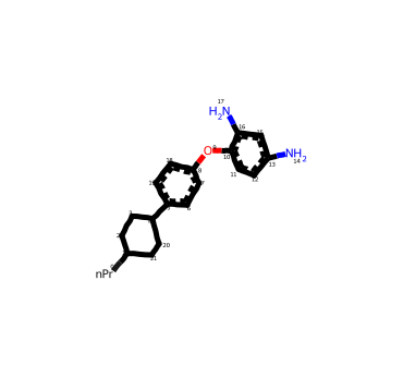 CCCC1CCC(c2ccc(Oc3ccc(N)cc3N)cc2)CC1